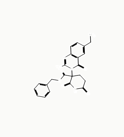 Cc1nc2ccc(CN)cc2c(=O)n1C1(C(=O)OCc2ccccc2)CCC(=O)NC1=O